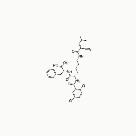 CC(C)/C=C(\C#N)C(=O)NCCCC[C@H](NC(=O)c1cc(Cl)ccc1Cl)C(=O)N[C@@H](Cc1ccccc1)B(O)O